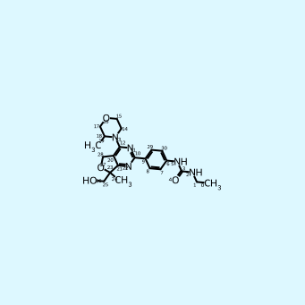 CCNC(=O)Nc1ccc(-c2nc(N3CCOCC3C)c3c(n2)C(C)(CO)OC3)cc1